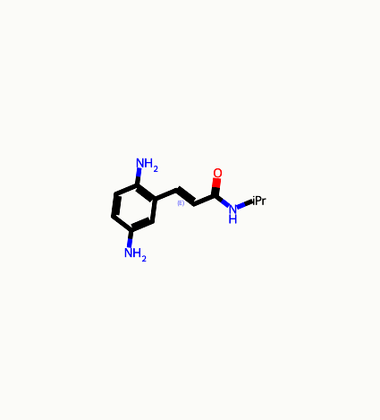 CC(C)NC(=O)/C=C/c1cc(N)ccc1N